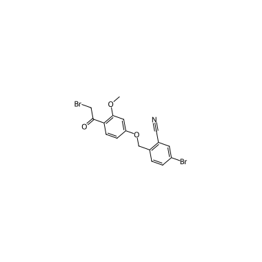 COc1cc(OCc2ccc(Br)cc2C#N)ccc1C(=O)CBr